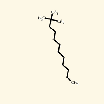 CCCCCCC[CH]CCC(C)(C)C